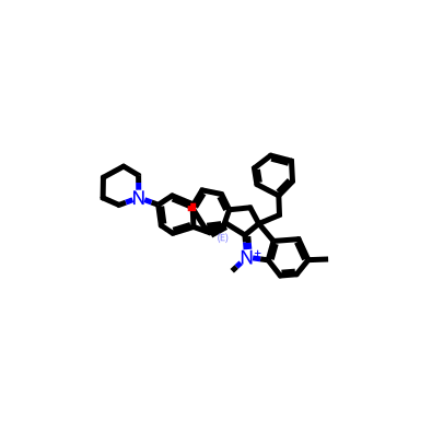 Cc1ccc2c(c1)C(Cc1ccccc1)(Cc1ccccc1)C(/C=C/c1ccc(N3CCCCC3)cc1)=[N+]2C